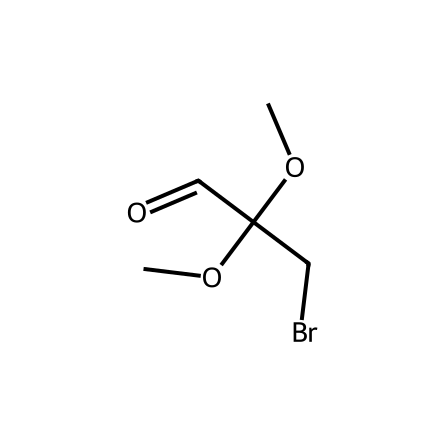 COC(C=O)(CBr)OC